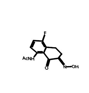 CC(=O)Nc1ccc(F)c2c1C(=O)C(=NO)CC2